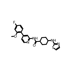 COc1cc(F)ccc1-c1ccnc(NC(=O)C2CCC(Nc3nccs3)CC2)c1